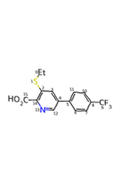 CCSc1cc(-c2ccc(C(F)(F)F)cc2)cnc1C(=O)O